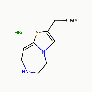 Br.COCC1=CN2CCNCC=C2S1